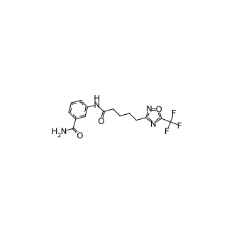 NC(=O)c1cccc(NC(=O)CCCCc2noc(C(F)(F)F)n2)c1